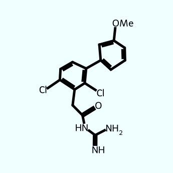 COc1cccc(-c2ccc(Cl)c(CC(=O)NC(=N)N)c2Cl)c1